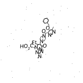 CCc1c(N2CCN(C(=O)c3ncnc(C)c3OCc3ccccc3)CC2)c(=O)n2nc(N(C)C)nc2n1CC(=O)O